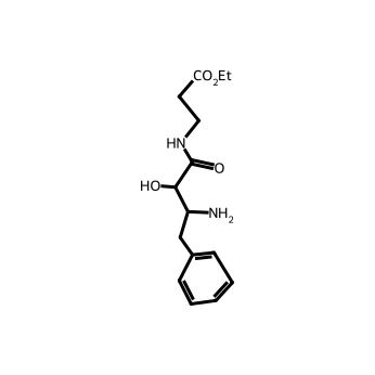 CCOC(=O)CCNC(=O)C(O)C(N)Cc1ccccc1